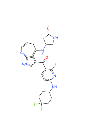 O=C1CC(NC2=c3c(C(=O)c4ccc(NC5CCC(F)(F)CC5)nc4F)c[nH]c3=NC=CC2)CN1